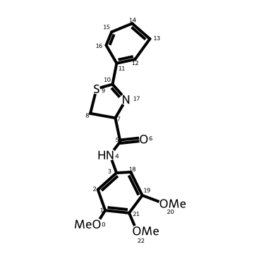 COc1cc(NC(=O)C2CSC(c3ccccc3)=N2)cc(OC)c1OC